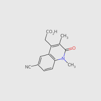 Cc1c(CC(=O)O)c2cc(C#N)ccc2n(C)c1=O